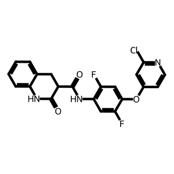 O=C(Nc1cc(F)c(Oc2ccnc(Cl)c2)cc1F)C1Cc2ccccc2NC1=O